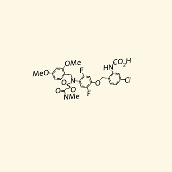 CNC(=O)S(=O)(=O)N(Cc1ccc(OC)cc1OC)c1cc(F)c(OCc2ccc(Cl)cc2NC(=O)O)cc1F